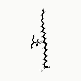 CCCC(CC)[N+](C)(C)O.CCCCCCCCCCCCCCCCCCCCCC(N)=O